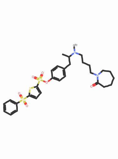 CCCN(CCCCN1CCCCCC1=O)C(C)Cc1ccc(OS(=O)(=O)c2ccc(S(=O)(=O)c3ccccc3)s2)cc1